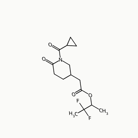 CC(OC(=O)CC1CCC(=O)N(C(=O)C2CC2)C1)C(C)(F)F